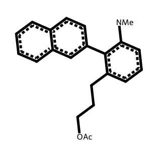 CNc1cccc(CCCOC(C)=O)c1-c1ccc2ccccc2c1